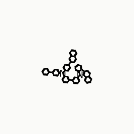 c1ccc(-c2ccc(N(c3ccc(-c4ccc5ccccc5c4)cc3)c3cccc(-c4cccc(-n5c6ccccc6c6ccc7ccccc7c65)c4)c3)cc2)cc1